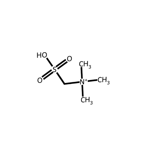 C[N+](C)(C)CS(=O)(=O)O